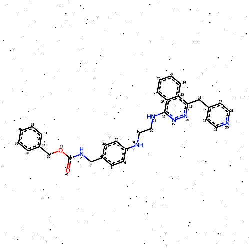 O=C(NCc1ccc(NCCNc2nnc(Cc3ccncc3)c3ccccc23)cc1)OCc1ccccc1